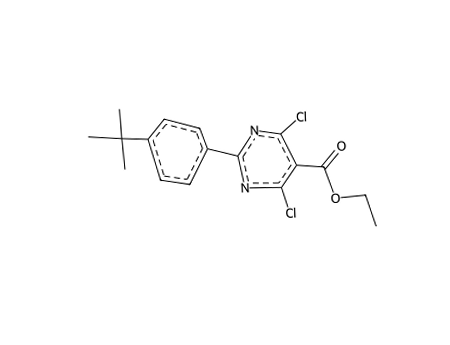 CCOC(=O)c1c(Cl)nc(-c2ccc(C(C)(C)C)cc2)nc1Cl